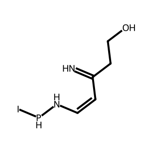 N=C(/C=C\NPI)CCO